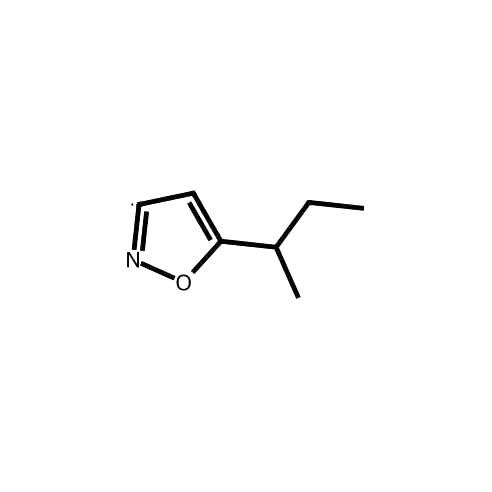 CCC(C)c1c[c]no1